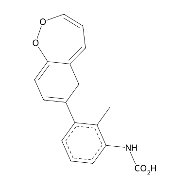 Cc1c(NC(=O)O)cccc1C1=CC=C2OOC=CC=C2C1